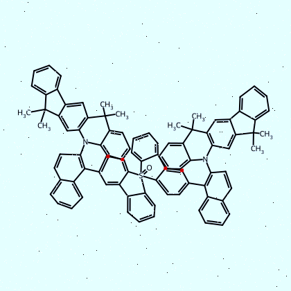 CC1(C)c2ccccc2-c2cc3c(cc21)N(c1ccc2ccccc2c1-c1ccc2c(c1)-c1ccccc1S21(=O)c2ccccc2-c2cc(-c4c(N5c6ccccc6C(C)(C)c6cc7c(cc65)C(C)(C)c5ccccc5-7)ccc5ccccc45)ccc21)c1ccccc1C3(C)C